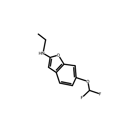 CCNc1cc2ccc(OC(F)F)cc2o1